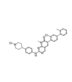 CCN1CCC(c2ccc(Nc3ncc4cc(-c5ccc(-c6ccccc6C)cc5Cl)c(=O)n(C)c4n3)cc2)CC1